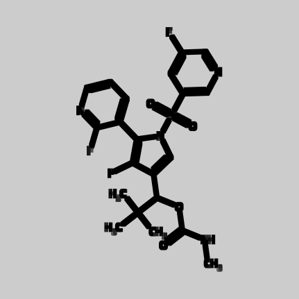 CNC(=O)OC(c1cn(S(=O)(=O)c2cncc(F)c2)c(-c2cccnc2F)c1F)C(C)(C)C